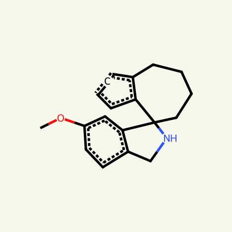 COc1ccc2c(c1)C1(CCCCc3ccccc31)NC2